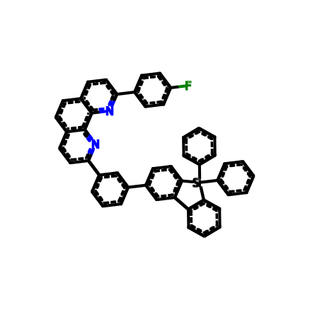 Fc1ccc(-c2ccc3ccc4ccc(-c5cccc(-c6ccc7c(c6)-c6ccccc6[Si]7(c6ccccc6)c6ccccc6)c5)nc4c3n2)cc1